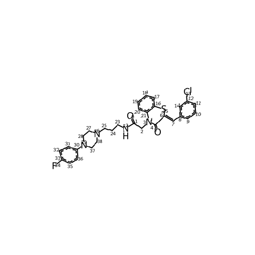 O=C(CN1C(=O)/C(=C/c2cccc(Cl)c2)Sc2ccccc21)NCCCN1CCN(c2ccc(F)cc2)CC1